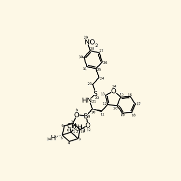 CC1(C)C2C[C@H]1CC1OB([C@H](Cc3coc4ccccc34)NSCCc3ccc([N+](=O)[O-])cc3)OC12